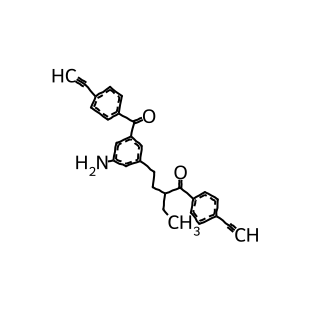 C#Cc1ccc(C(=O)c2cc(N)cc(CCC(CC)C(=O)c3ccc(C#C)cc3)c2)cc1